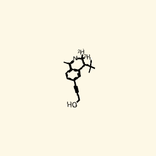 [2H]C1([2H])N=C(C)c2ccc(C#CCO)cc2C1C(C)(C)C